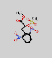 COC(=O)C(Cc1c([N+](=O)[O-])cccc1[N+](=O)[O-])OS(C)(=O)=O